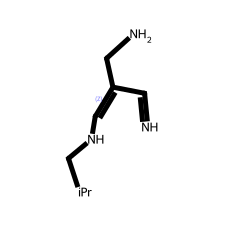 CC(C)CN/C=C(\C=N)CN